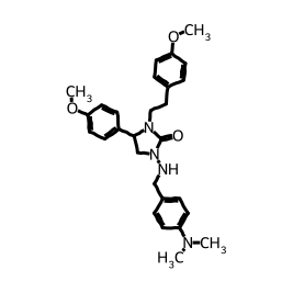 COc1ccc(CCN2C(=O)N(NCc3ccc(N(C)C)cc3)CC2c2ccc(OC)cc2)cc1